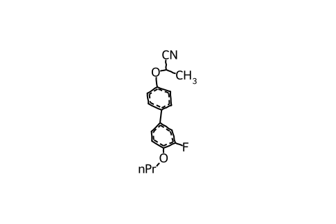 CCCOc1ccc(-c2ccc(OC(C)C#N)cc2)cc1F